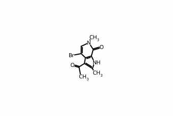 CC(=O)c1c(C)[nH]c2c(=O)n(C)cc(Br)c12